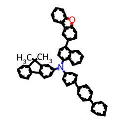 CC1(C)c2ccccc2-c2ccc(N(c3ccc(-c4ccc(-c5ccccc5)cc4)cc3)c3ccc(-c4ccc5oc6ccccc6c5c4)c4ccccc34)cc21